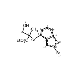 CCOC(=O)C(C)(CO)Sc1ccnc2sc(Br)cc12